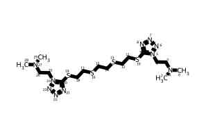 CN(C)CCn1nnnc1SCCSCCSCCSc1nnnn1CCN(C)C